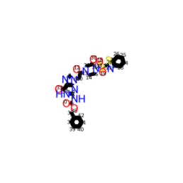 O=C(Nc1nc2c(ncn2CC(=O)N2CCN(S(=O)(=O)c3nc4ccccc4s3)C(=O)C2)c(=O)[nH]1)OCc1ccccc1